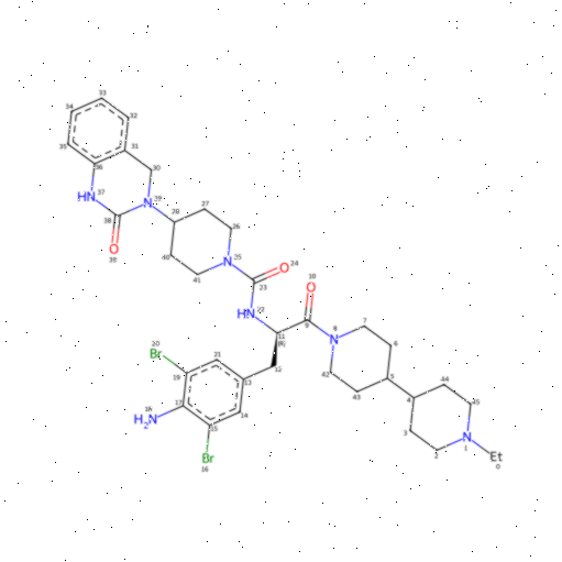 CCN1CCC(C2CCN(C(=O)[C@@H](Cc3cc(Br)c(N)c(Br)c3)NC(=O)N3CCC(N4Cc5ccccc5NC4=O)CC3)CC2)CC1